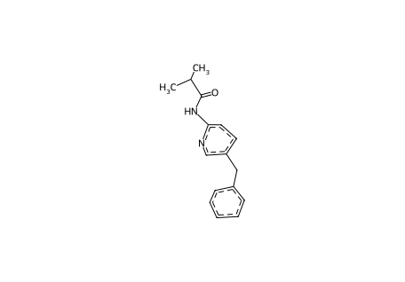 CC(C)C(=O)Nc1ccc(Cc2ccccc2)cn1